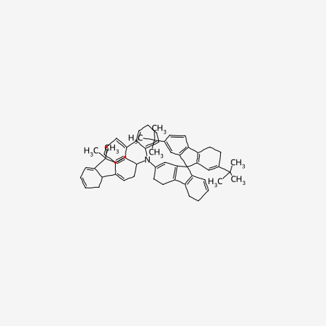 CC(C)(C)C1=CC2=C(CC1)c1ccc(C(C)(C)C)cc1C21C2=C(CCC=C2)C2=C1C=C(N(C1=CCCC=C1c1ccccc1)C1C=C3C(=CC1)C1CC=CC=C1C3(C)C)CC2